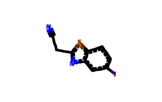 N#CCc1nc2cc(I)ccc2s1